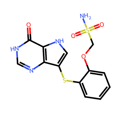 NS(=O)(=O)COc1ccccc1Sc1c[nH]c2c(=O)[nH]cnc12